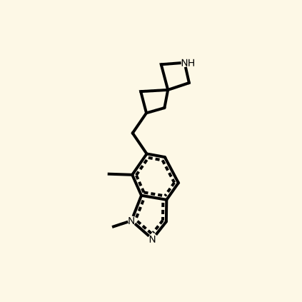 Cc1c(CC2CC3(CNC3)C2)ccc2cnn(C)c12